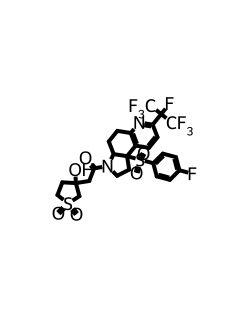 O=C(CC1(O)CCS(=O)(=O)C1)N1CCC2(S(=O)(=O)c3ccc(F)cc3)c3ccc(C(F)(C(F)(F)F)C(F)(F)F)nc3CCC12